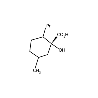 CC1CCC(C(C)C)[C@@](O)(C(=O)O)C1